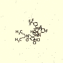 CCCC(CCC)N1CCc2c(C(=O)N[C@@H](Cc3cc(F)cc(F)c3)[C@H](O)CNC3(c4cccc(C(F)(F)F)c4)CC3)cc(Cl)cc2C1=O.Cl